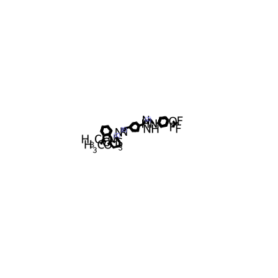 CC(C)(C)c1ccccc1N1C(=O)CCS/C1=N\N=C\c1ccc(C(=N)/N=C\Nc2ccc(OC(F)(F)F)cc2)cc1